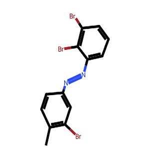 Cc1ccc(/N=N/c2cccc(Br)c2Br)cc1Br